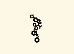 CC(C)C(C(=O)OCc1cccc(Sc2ccccc2)n1)c1scc2cc(Cl)ccc12